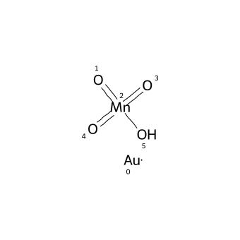 [Au].[O]=[Mn](=[O])(=[O])[OH]